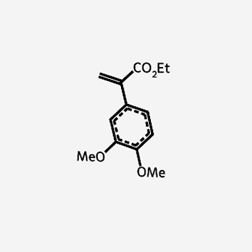 C=C(C(=O)OCC)c1ccc(OC)c(OC)c1